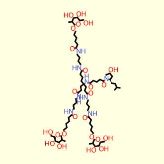 CC(C)CC[C@@H]1C[C@@H](O)CN1C(=O)CCCC(=O)NC(CCCC(=O)NCCCCNC(=O)CCCCCO[C@@H]1OC(CO)[C@H](O)[C@H](O)C1C)(CCC(=O)NCCCCNC(=O)CCCCCO[C@@H]1OC(CO)[C@H](O)[C@H](O)C1C)CCC(=O)NCCCCNC(=O)CCCCCO[C@@H]1OC(CO)[C@H](O)[C@H](O)C1C